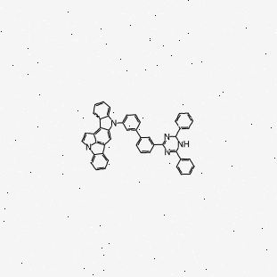 c1ccc(C2=NC(c3cccc(-c4cccc(-n5c6ccccc6c6c7ccn8c9ccccc9c(cc65)c78)c4)c3)=NC(c3ccccc3)N2)cc1